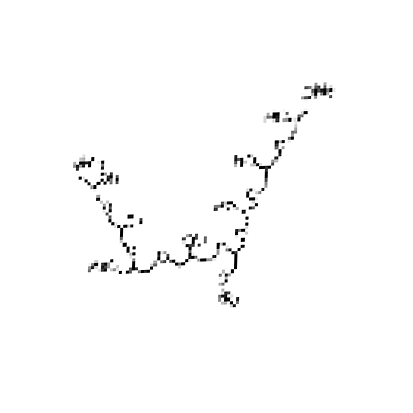 COCC(O)COCC(O)COCC(O)COCC(COC(C)(C)C)OCC(O)COCC(COC)OCC(O)COCC(O)COC